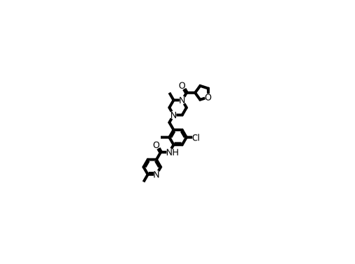 Cc1ccc(C(=O)Nc2cc(Cl)cc(CN3CCN(C(=O)C4CCOC4)C(C)C3)c2C)cn1